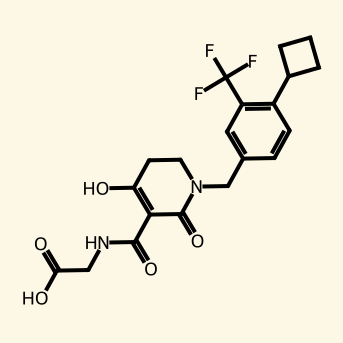 O=C(O)CNC(=O)C1=C(O)CCN(Cc2ccc(C3CCC3)c(C(F)(F)F)c2)C1=O